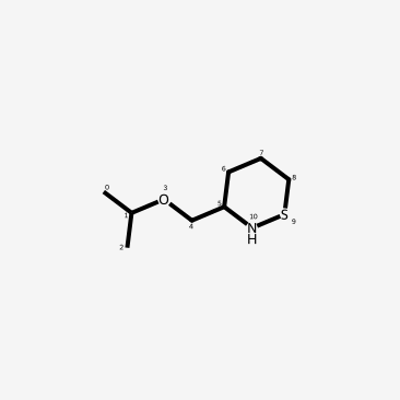 CC(C)OCC1CCCSN1